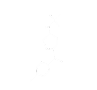 CS(=O)(=O)Nc1ccc(C(=O)c2ccc(F)cc2)cc1